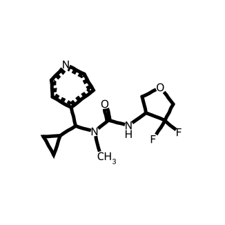 CN(C(=O)NC1COCC1(F)F)C(c1ccncc1)C1CC1